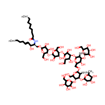 CCCCCCCCCCCCC/C=C/[C@@H](O)[C@H](CO[C@@H]1OC(CO)[C@@H](O[C@@H]2OC(CO)[C@H](O[C@@H]3OC(CO)[C@H](O)[C@H](O[C@@H]4OC(CO[C@@H]5OC(CO)[C@@H](O[C@@H]6OC(CO)[C@H](O)[C@H](O)C6O)[C@H](O[C@H]6OC(C)[C@@H](O)C(O)[C@@H]6O)C5NC(C)=O)[C@H](O)[C@H](O[C@@H]5OC(CO)[C@H](O)[C@H](O)C5O)C4NC(C)=O)C3O)[C@H](O)C2O)[C@H](O)C1O)NC(=O)CCCCCCCCCCCCCCCCC